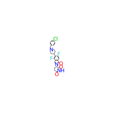 O=C1CCC(N2Cc3c(cc(F)c(C4CCN(Cc5ccc(Cl)cc5)CC4)c3F)C2=O)C(=O)N1